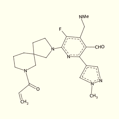 C=CC(=O)N1CCCC2(CCN(c3nc(-c4cnn(C)c4)c(C=O)c(CNC)c3F)C2)C1